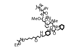 CCO/C(C)=N\OCCCCCC(=O)CCNCc1ccc(NC(=O)[C@H](Cc2ccccc2)NC(=O)[C@H](C)[C@@H](OC)[C@@H]2CCCN2C(=O)C[C@@H](OC)[C@H]([C@@H](C)CC)N(C)C(=O)[C@@H](N=C(N(C)C)N(C)C)C(C)C)cc1